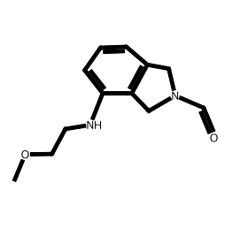 COCCNc1cccc2c1CN(C=O)C2